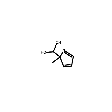 CC1(C(O)O)C=CC=N1